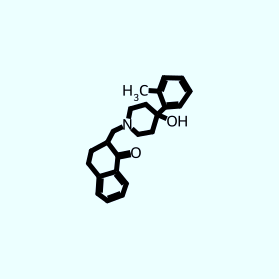 Cc1ccccc1C1(O)CCN(CC2CCc3ccccc3C2=O)CC1